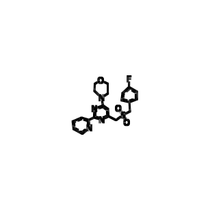 O=S(=O)(Cc1ccc(F)cc1)Cc1cc(N2CCOCC2)nc(-c2ccccn2)n1